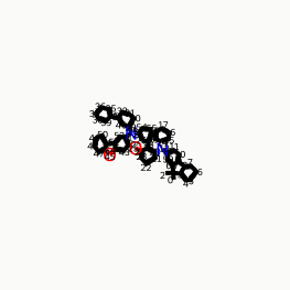 CC1(C)c2ccccc2-c2ccc(N(c3ccccc3)c3cccc4oc5c(N(c6cccc(-c7ccccc7)c6)c6ccc7oc8ccccc8c7c6)cccc5c34)cc21